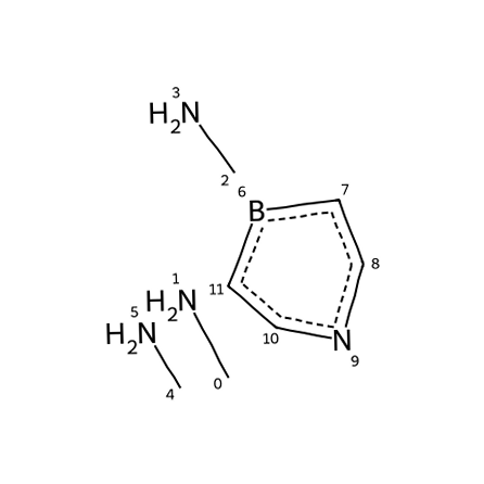 CN.CN.CN.b1ccncc1